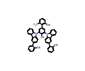 N#Cc1ccccc1-c1ccc2c(c1)c1ccccc1n2-c1cc(-c2c(C#N)cccc2C(F)(F)F)cc(-n2c3ccccc3c3cc(-c4ccccc4C#N)ccc32)c1C#N